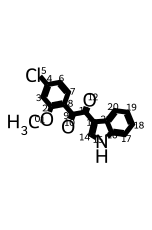 COc1cc(Cl)ccc1C(=O)C(=O)c1c[nH]c2ccccc12